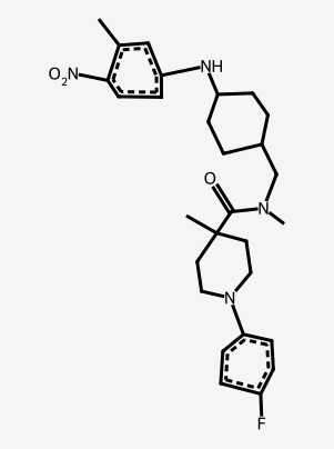 Cc1cc(NC2CCC(CN(C)C(=O)C3(C)CCN(c4ccc(F)cc4)CC3)CC2)ccc1[N+](=O)[O-]